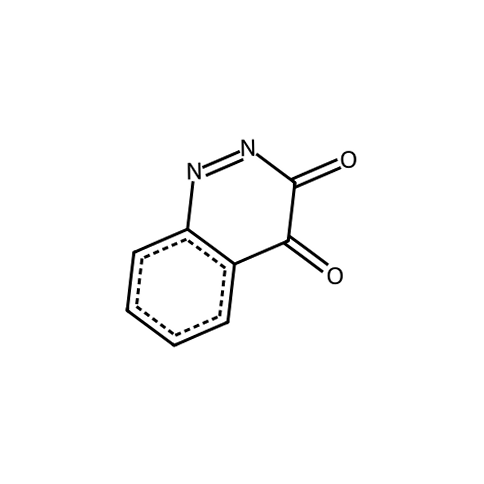 O=C1N=Nc2ccccc2C1=O